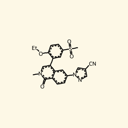 CCOc1ccc(S(C)(=O)=O)cc1-c1cn(C)c(=O)c2ccc(-n3cc(C#N)cn3)cc12